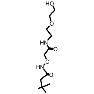 CC(C)(C)CC(=O)NOCC(=O)NCCOCCO